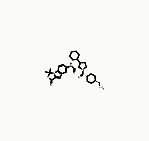 CC1(C)OC(=O)c2cc3cc(NC(=O)[C@@H]4C(C5CCCCC5)CCN4C(=O)[C@H]4CC[C@H](CN)CC4)ccc3n21